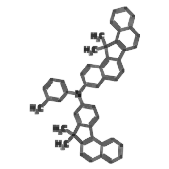 Cc1cccc(N(c2ccc3c(c2)C(C)(C)c2ccc4ccccc4c2-3)c2ccc3c4c(ccc3c2)-c2ccc3ccccc3c2C4(C)C)c1